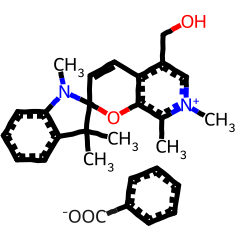 Cc1c2c(c(CO)c[n+]1C)C=CC1(O2)N(C)c2ccccc2C1(C)C.O=C([O-])c1ccccc1